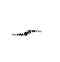 CCCCC/C=C/COc1cnc(-c2ccc(OCCCCOCCCCCC)cc2)nc1